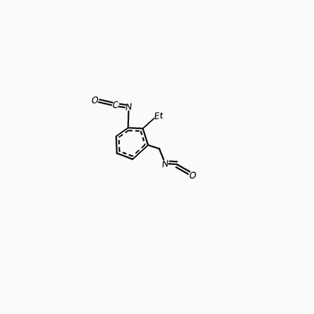 CCc1c(CN=C=O)cccc1N=C=O